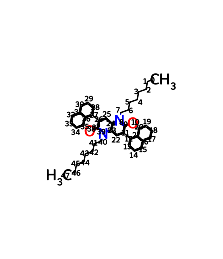 CCCCCCCCn1c(=O)c(-c2cccc3ccccc23)cc2c1cc(-c1cccc3ccccc13)c(=O)n2CCCCCCCC